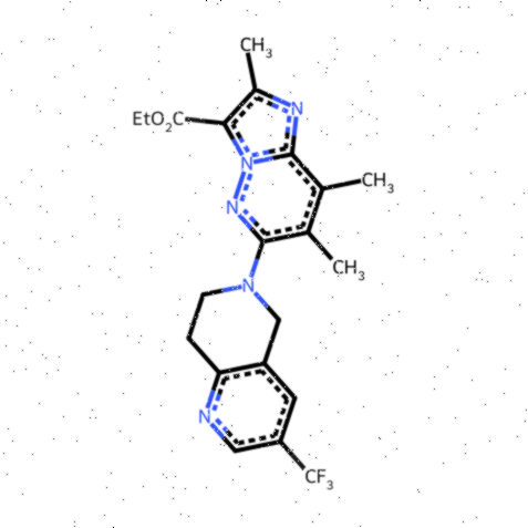 CCOC(=O)c1c(C)nc2c(C)c(C)c(N3CCc4ncc(C(F)(F)F)cc4C3)nn12